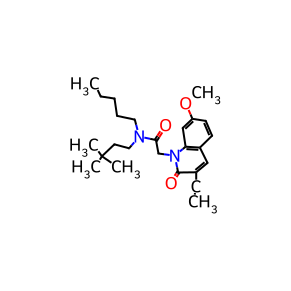 CCCCCN(CCC(C)(C)C)C(=O)Cn1c(=O)c(CC)cc2ccc(OC)cc21